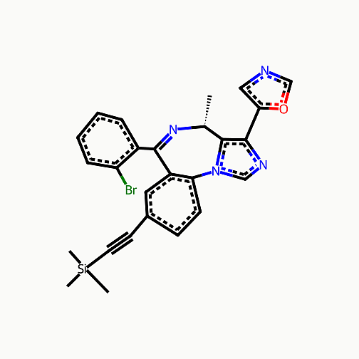 C[C@H]1N=C(c2ccccc2Br)c2cc(C#C[Si](C)(C)C)ccc2-n2cnc(-c3cnco3)c21